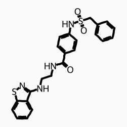 O=C(NCCNc1nsc2ccccc12)c1ccc(NS(=O)(=O)Cc2ccccc2)cc1